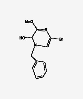 COC1=NC(Br)=CN(Cc2ccccc2)C1O